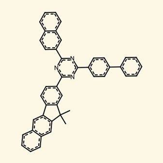 CC1(C)c2cc(-c3nc(-c4ccc(-c5ccccc5)cc4)nc(-c4ccc5ccccc5c4)n3)ccc2-c2cc3ccccc3cc21